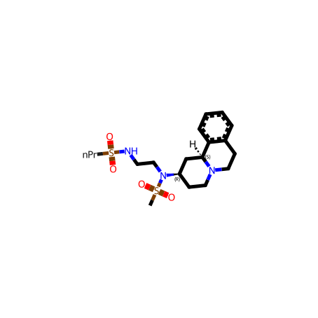 CCCS(=O)(=O)NCCN([C@@H]1CCN2CCc3ccccc3[C@@H]2C1)S(C)(=O)=O